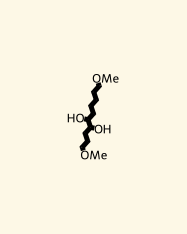 COCCCCCC(O)C(O)CCCOC